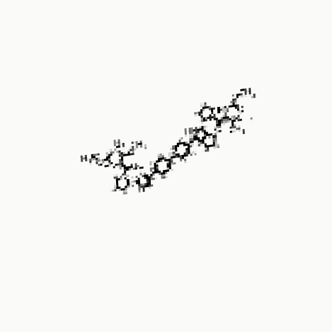 COC(=O)N[C@H](C(=O)N1CCC[C@H]1c1[nH]c(-c2ccc(-c3ccc(-c4cnc([C@@H]5CCCN5C(=O)[C@@H](NC(=O)OC)[C@@H](C)OC)[nH]4)cc3)cc2)c2c1CCC2)C(C)C